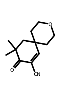 CC1(C)CC2(C=C(C#N)C1=O)CCOCC2